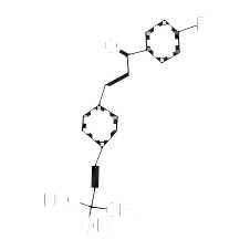 CC(C)(O)C#Cc1ccc(/C=C/C(=O)c2ccc(F)cc2)cc1